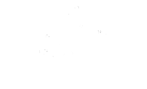 CC1=C(C(=O)OC(C)C)C(c2cccc([N+](=O)[O-])c2)C(S(=O)(=O)c2ccccc2)=C(N)N1